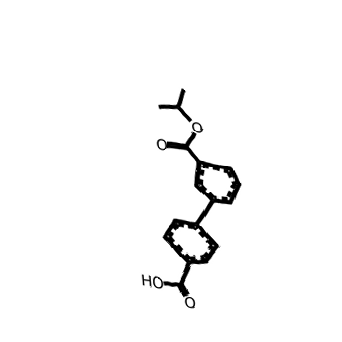 CC(C)OC(=O)c1cccc(-c2ccc(C(=O)O)cc2)c1